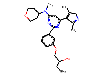 CNCC(O)COc1cccc(-c2nc(C3=C(C)CN=C3C)cc(N(C)C3CCOCC3)n2)c1